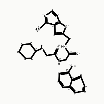 Nc1nccc2sc(CNC(=O)[C@H](Cc3cccc4ccccc34)NC(=O)CNC3CCCCC3)cc12